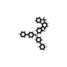 CC1(C)c2ccccc2-c2c1ccc1oc3cc(N(c4ccc(-c5ccccc5)cc4)c4ccc(-c5ccccc5)cc4)ccc3c21